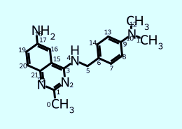 Cc1nc(NCc2ccc(N(C)C)cc2)c2cc(N)ccc2n1